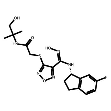 CC(C)(CO)NC(=O)CSc1nonc1/C(=N\O)N[C@H]1CCc2ccc(F)cc21